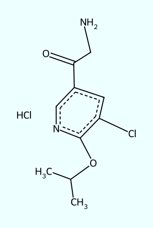 CC(C)Oc1ncc(C(=O)CN)cc1Cl.Cl